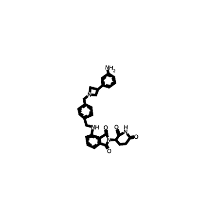 Nc1cccc(C2CN(Cc3ccc(CNc4cccc5c4C(=O)N(C4CCC(=O)NC4=O)C5=O)cc3)C2)c1